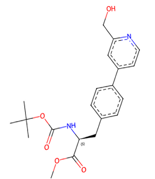 COC(=O)[C@H](Cc1ccc(-c2ccnc(CO)c2)cc1)NC(=O)OC(C)(C)C